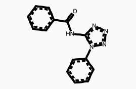 O=C(Nc1nnnn1-c1ccccc1)c1ccccc1